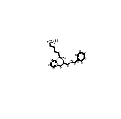 O=C(O)CCCCCOC(COCc1ccccc1)Cn1ccnc1